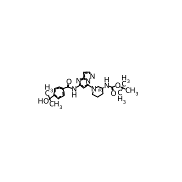 CC(C)(C)OC(=O)N[C@@H]1CCCN(c2cc(NC(=O)c3ccc(C(C)(C)O)cc3)nc3ccnn23)C1